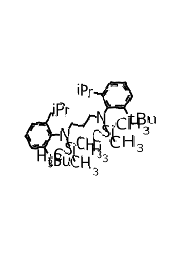 CC(C)c1cccc(C(C)(C)C)c1N(CCCN(c1c(C(C)C)cccc1C(C)(C)C)[Si](C)(C)C)[Si](C)(C)C